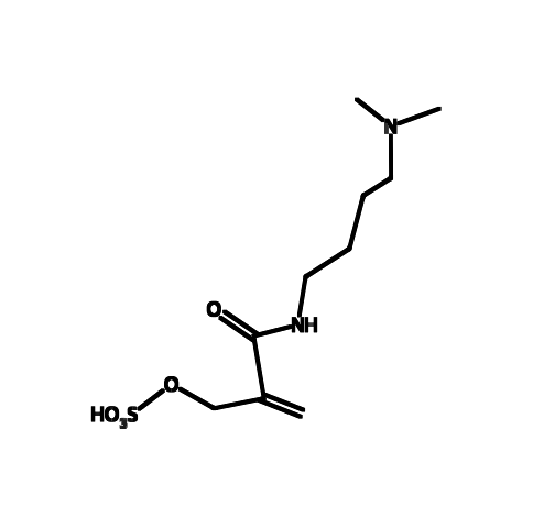 C=C(COS(=O)(=O)O)C(=O)NCCCCN(C)C